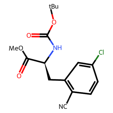 COC(=O)[C@H](Cc1cc(Cl)ccc1C#N)NC(=O)OC(C)(C)C